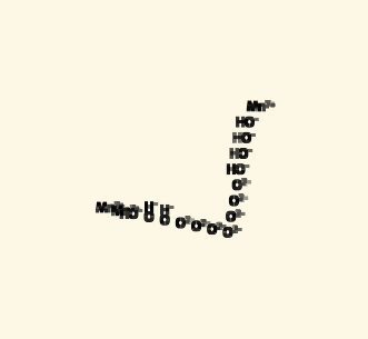 [Mn+7].[Mn+7].[Mn+7].[O-2].[O-2].[O-2].[O-2].[O-2].[O-2].[O-2].[OH-].[OH-].[OH-].[OH-].[OH-].[OH-].[OH-]